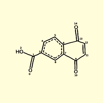 O=C(O)c1ccc2c(c1)C(=O)C=CC2=O